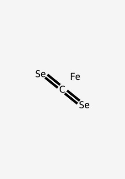 [Fe].[Se]=C=[Se]